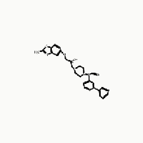 Cc1nc2cc(OC[C@H](O)CN3CCN(N(C=O)c4cccc(-c5ccccc5)c4)CC3)ccc2s1